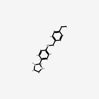 CCc1ccc(COc2ccc(C3SCCS3)cc2)cc1